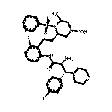 CC1CN(C(=O)O)CC(CCc2c(F)cccc2NC(=O)[C@@H](N)[C@@H](c2ccc(F)cc2)C2CCOCC2)N1S(=O)(=O)c1ccccc1